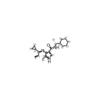 C=C/C(=N\c1c(C(=O)N[C@H](C)C2CCCCC2)c[nH]c1C)C1CC1